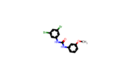 COc1cccc(NC(=O)Nc2cc(Br)cc(Br)c2)c1